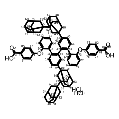 Cl.Cl.O=C(O)c1ccc(Oc2ccccc2-c2ccc(C34CC5CC(C3)CC(C36CC7CC(CC(C7)C3)C6)(C5)C4)cc2-c2cc(C34CC5CC(C3)CC(C36CC7CC(CC(C7)C3)C6)(C5)C4)ccc2-c2ccccc2Oc2ccc(C(=O)O)cc2)cc1